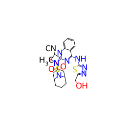 CN(c1nc(Nc2nnc(CO)s2)c2ccccc2n1)C1CC2CCCC(C1)N2S(=O)(=O)N1CC(C#N)C1